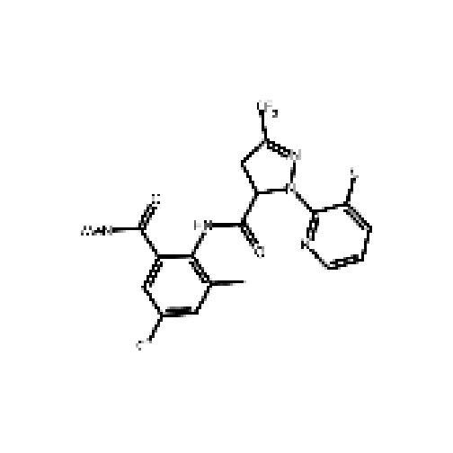 CNC(=O)c1cc(Cl)cc(C)c1NC(=O)C1CC(C(F)(F)F)=NN1c1ncccc1Cl